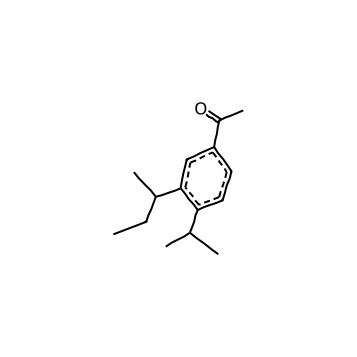 CCC(C)c1cc(C(C)=O)ccc1C(C)C